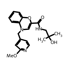 COc1cc(CN2C=C(C(=O)NCC(C)(C)O)Oc3ccccc32)ccn1